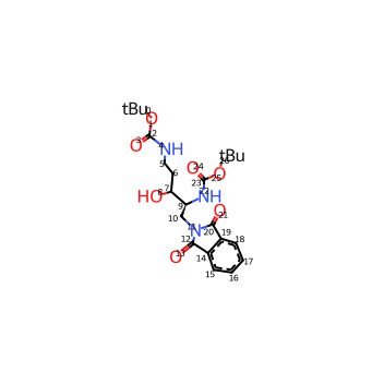 CC(C)(C)OC(=O)NCCC(O)[C@H](CN1C(=O)c2ccccc2C1=O)NC(=O)OC(C)(C)C